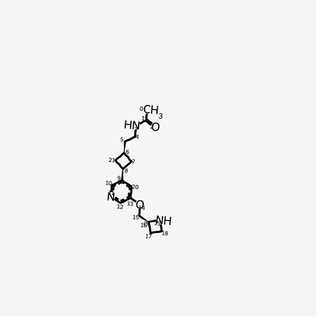 CC(=O)NCC[C@H]1C[C@@H](c2cncc(OC[C@@H]3CCN3)c2)C1